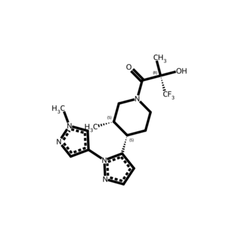 C[C@@H]1CN(C(=O)[C@@](C)(O)C(F)(F)F)CC[C@@H]1c1ccnn1-c1cnn(C)c1